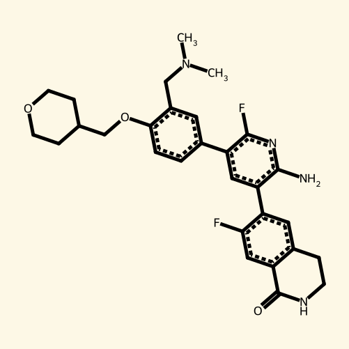 CN(C)Cc1cc(-c2cc(-c3cc4c(cc3F)C(=O)NCC4)c(N)nc2F)ccc1OCC1CCOCC1